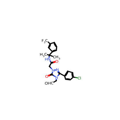 CC(C)(NC(=O)Cn1nc(-c2ccc(Cl)cc2)n(CC=O)c1=O)c1cccc(C(F)(F)F)c1